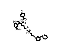 COc1ccc2[nH]c(C)c(C(CCC[S+]([O-])CC(=O)NCCCOc3cccc(CN4CCCCC4)c3)C(=O)OC(=O)c3ccc(Cl)cc3)c2c1